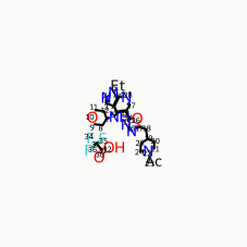 CCn1ncc2c(NC3CCOCC3)c(-c3nnc(CC4CCN(C(C)=O)CC4)o3)cnc21.O=C(O)C(F)(F)F